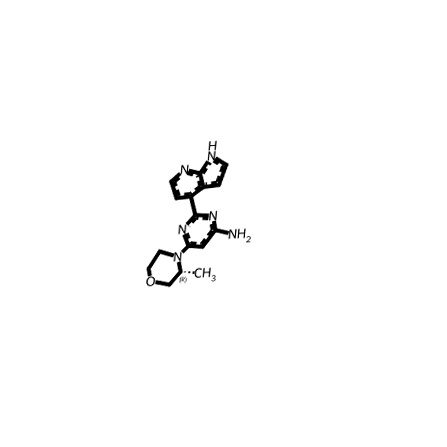 C[C@@H]1COCCN1c1cc(N)nc(-c2ccnc3[nH]ccc23)n1